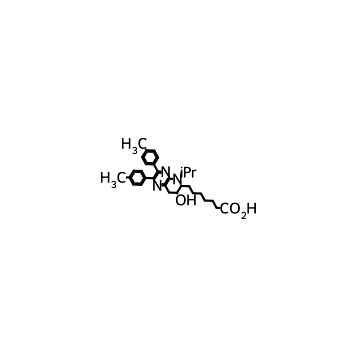 Cc1ccc(-c2nc3c(nc2-c2ccc(C)cc2)N(C(C)C)C(CCCCCCC(=O)O)C(O)C3)cc1